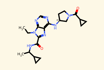 CCn1c(C(=O)NC(C)C2CC2)nc2c(N[C@H]3CCN(C(=O)C4CC4)C3)ncnc21